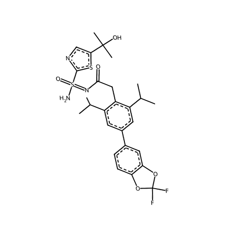 CC(C)c1cc(-c2ccc3c(c2)OC(F)(F)O3)cc(C(C)C)c1CC(=O)N=S(N)(=O)c1ncc(C(C)(C)O)s1